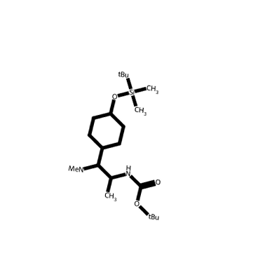 CNC(C1CCC(O[Si](C)(C)C(C)(C)C)CC1)C(C)NC(=O)OC(C)(C)C